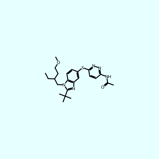 CCC(CCOC)Cn1c(C(C)(C)C)nc2cc(Sc3ccc(NC(C)=O)nn3)ccc21